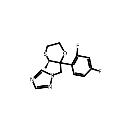 C[C@H]1SCCOC1(Cn1cncn1)c1ccc(F)cc1F